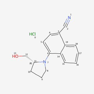 Cl.N#Cc1ccc(N2CCC[C@@H]2CO)c2ccccc12